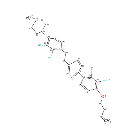 C=CCCOc1ccc(-c2ccc(CCc3ccc(C4CCC(C)CC4)c(F)c3F)cc2)c(F)c1F